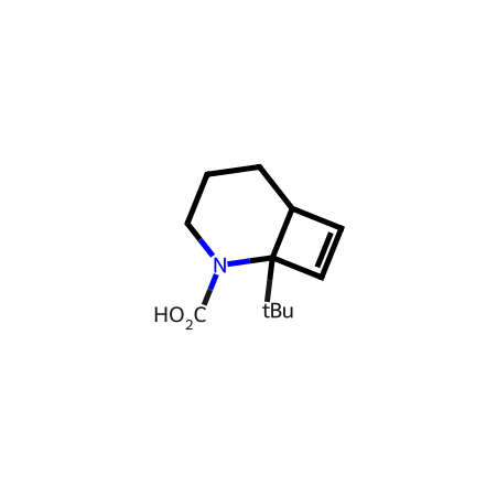 CC(C)(C)C12C=CC1CCCN2C(=O)O